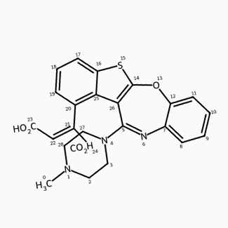 CN1CCN(C2=Nc3ccccc3Oc3sc4cccc(C(=CC(=O)O)C(=O)O)c4c32)CC1